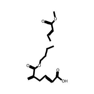 C=C(CC=CC(=O)O)C(=O)OCCCC.CC=CC(=O)OC